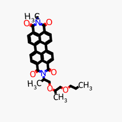 CCCOCC(C)OCC(C)N1C(=O)c2ccc3c4ccc5c6c(ccc(c7ccc(c2c37)C1=O)c64)C(=O)N(C)C5=O